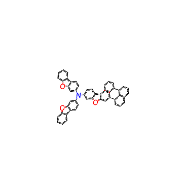 c1ccc(-c2cccc3cccc(-c4ccc5c(c4)oc4cc(N(c6ccc7c(c6)oc6ccccc67)c6ccc7c(c6)oc6ccccc67)ccc45)c23)cc1